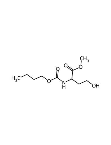 CCCCOC(=O)NC(CCO)C(=O)OC